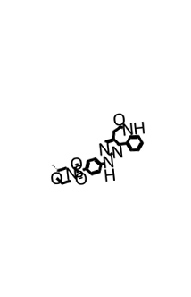 C[C@@H]1CN(S(=O)(=O)c2ccc(Nc3ncc4c(n3)-c3ccccc3NC(=O)C4)cc2)CCO1